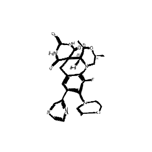 C[C@H]1CN2c3c(cc(-c4cnccn4)c(N4CCOCC4)c3F)CC3(C(=O)NC(=O)NC3=O)[C@@H]2[C@@H](C)O1